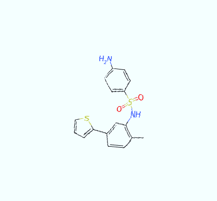 Cc1ccc(-c2cccs2)cc1NS(=O)(=O)c1ccc(N)cc1